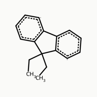 CCC1(CC)c2[c]cccc2-c2[c]cccc21